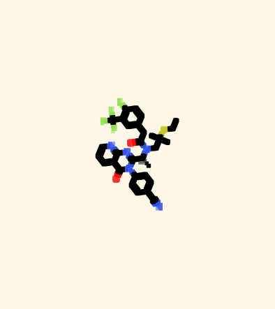 CCSC(C)(C)CN(C(=O)Cc1ccc(F)c(C(F)(F)F)c1)[C@H](C)c1nc2ncccc2c(=O)n1-c1ccc(C#N)cc1